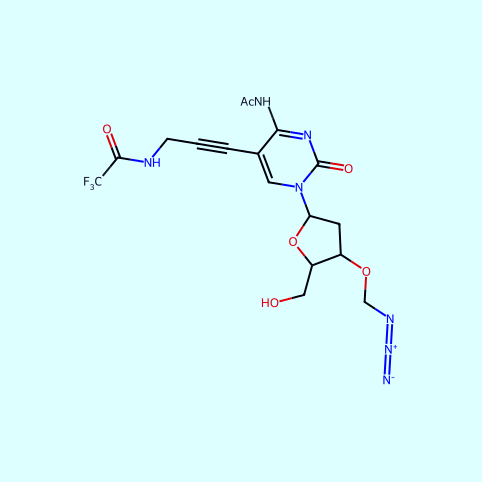 CC(=O)Nc1nc(=O)n(C2CC(OCN=[N+]=[N-])C(CO)O2)cc1C#CCNC(=O)C(F)(F)F